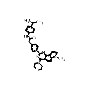 CC(C)c1ccc(NC(=O)Nc2ccc(-c3nc(N4CCOCC4)c4ccc5c(ccn5C)c4n3)cc2)cc1